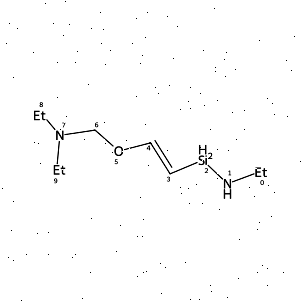 CCN[SiH2]C=COCN(CC)CC